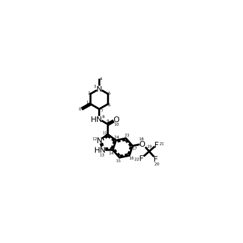 C=C1CN(C)CCC1NC(=O)c1n[nH]c2ccc(OC(F)(F)F)cc12